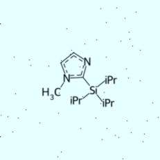 CC(C)[Si](c1nccn1C)(C(C)C)C(C)C